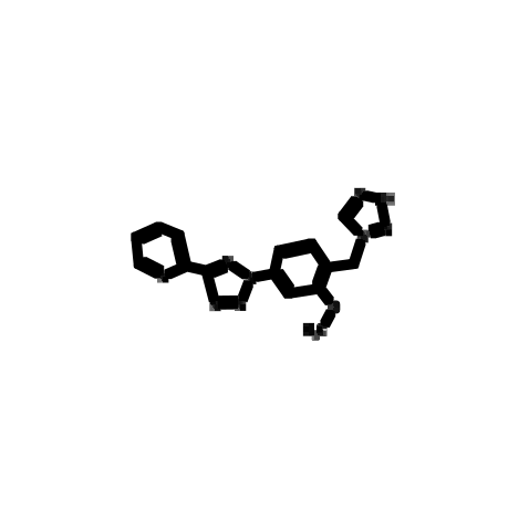 COc1cc(-n2nnc(-c3ccccn3)n2)ccc1C[n+]1cn[nH]n1